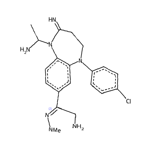 CN/N=C(\CN)c1ccc2c(c1)N(c1ccc(Cl)cc1)CCC(=N)N2C(C)N